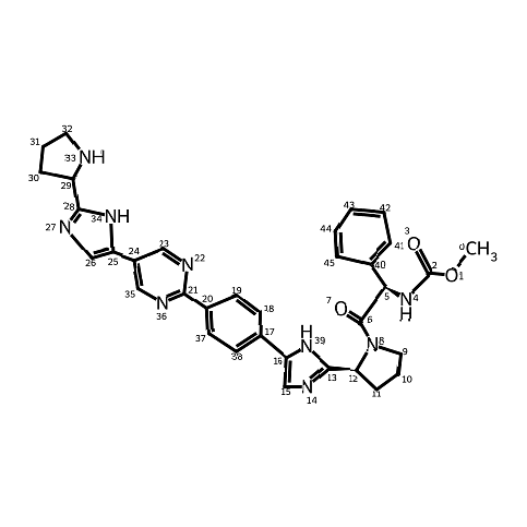 COC(=O)N[C@@H](C(=O)N1CCC[C@H]1c1ncc(-c2ccc(-c3ncc(-c4cnc(C5CCCN5)[nH]4)cn3)cc2)[nH]1)c1ccccc1